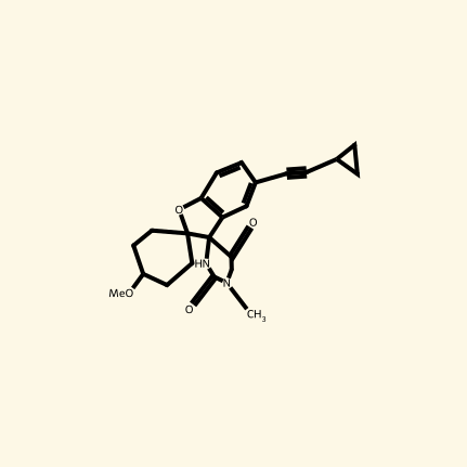 COC1CCC2(CC1)Oc1ccc(C#CC3CC3)cc1C21NC(=O)N(C)CC1=O